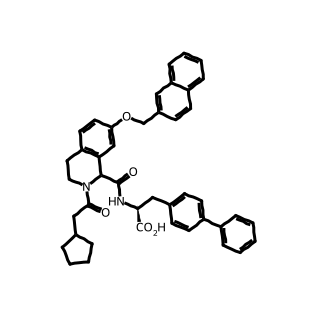 O=C(N[C@@H](Cc1ccc(-c2ccccc2)cc1)C(=O)O)C1c2cc(OCc3ccc4ccccc4c3)ccc2CCN1C(=O)CC1CCCC1